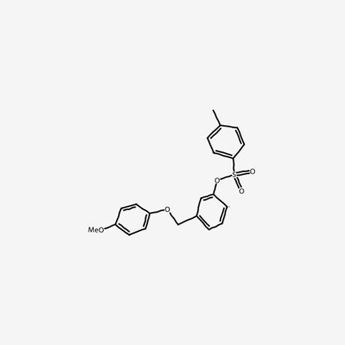 COc1ccc(OCc2cc[c]c(OS(=O)(=O)c3ccc(C)cc3)c2)cc1